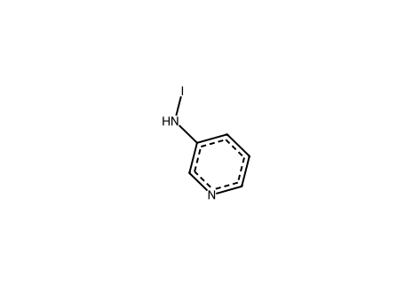 INc1cccnc1